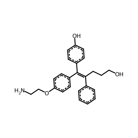 NCCOc1ccc(/C(=C(/CCCO)c2ccccc2)c2ccc(O)cc2)cc1